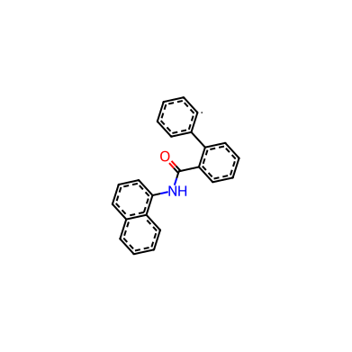 O=C(Nc1cccc2ccccc12)c1ccccc1-c1[c]cccc1